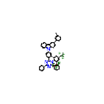 Cc1cccc(-c2ccc3c(c2)c2ccccc2n3-c2ccc(-c3nc(-c4ccccc4)nc(-c4ccccc4)n3)c(-c3cc(C(F)(F)F)cc(C(F)(F)F)c3)c2)c1